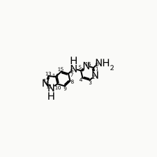 Nc1nccc(Nc2ccc3[nH]ncc3c2)n1